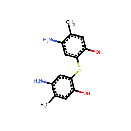 Cc1cc(O)c(Sc2cc(N)c(C)cc2O)cc1N